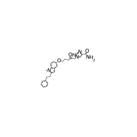 Cn1c(CCc2ccccc2)cc2cc(OCCC[C@H](O)Cn3cnc(C(N)=O)c3)ccc21